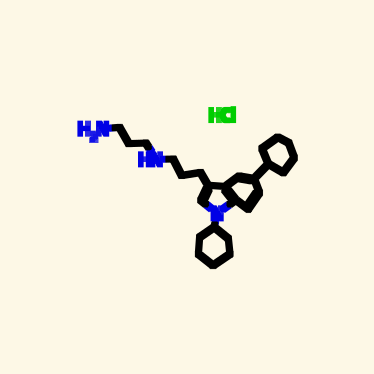 Cl.NCCCNCCCc1cn(C2CCCCC2)c2ccc(C3CCCCC3)cc12